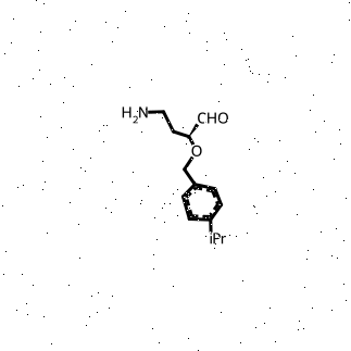 CC(C)c1ccc(CO[C@H](C=O)CCN)cc1